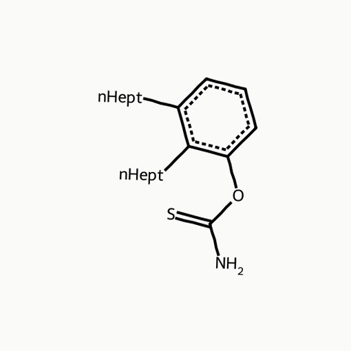 CCCCCCCc1cccc(OC(N)=S)c1CCCCCCC